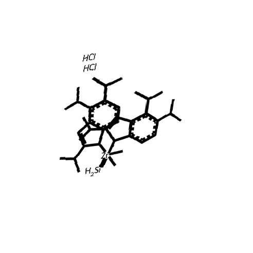 CC(C)C1=Cc2c(ccc(C(C)C)c2C(C)C)[CH]1[Zr]([CH3])([CH3])(=[SiH2])[CH]1C(C(C)C)=Cc2c1ccc(C(C)C)c2C(C)C.Cl.Cl